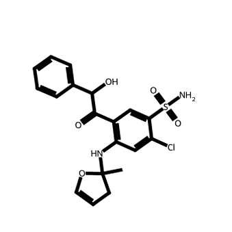 CC1(Nc2cc(Cl)c(S(N)(=O)=O)cc2C(=O)C(O)c2ccccc2)CC=CO1